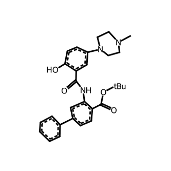 CN1CCN(c2ccc(O)c(C(=O)Nc3cc(-c4ccccc4)ccc3C(=O)OC(C)(C)C)c2)CC1